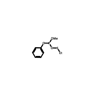 CCSOP(OC)Oc1ccccc1